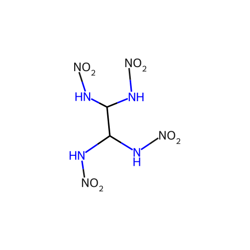 O=[N+]([O-])NC(N[N+](=O)[O-])C(N[N+](=O)[O-])N[N+](=O)[O-]